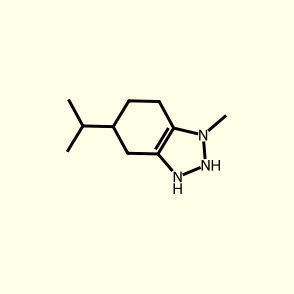 CC(C)C1CCC2=C(C1)NNN2C